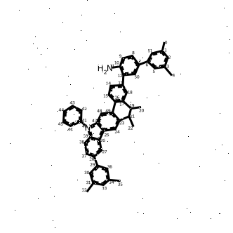 Cc1cc(C)cc(-c2ccc(N)c(-c3ccc4c(c3)C(C)C(C)c3cc5c6cc(-c7cc(C)cc(C)c7)ccc6n(-c6ccccc6)c5cc3-4)c2)c1